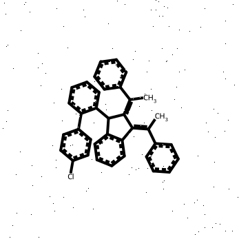 C/C(=C1\C(=C(/C)c2ccccc2)C(c2ccccc2-c2ccc(Cl)cc2)c2ccccc21)c1ccccc1